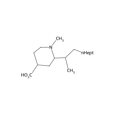 CCCCCCCCC(C)C1CC(C(=O)O)CCN1C